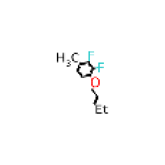 CCC=CCOc1ccc(C)c(F)c1F